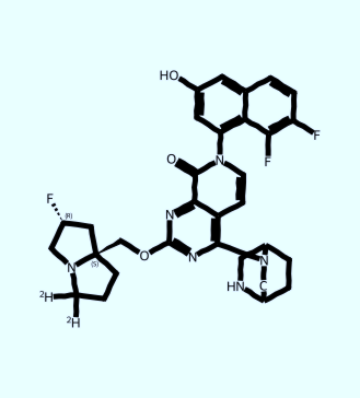 [2H]C1([2H])CC[C@@]2(COc3nc(N4CC5CCC4CN5)c4ccn(-c5cc(O)cc6ccc(F)c(F)c56)c(=O)c4n3)C[C@@H](F)CN12